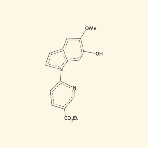 CCOC(=O)c1ccc(-n2ccc3cc(OC)c(O)cc32)nc1